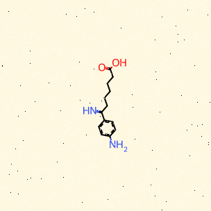 N=C(CCCCCC(=O)O)c1ccc(N)cc1